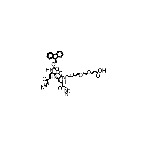 [N-]=[N+]=CC(=O)CCC(NC(=O)OCC1c2ccccc2-c2ccccc21)C(=O)NC(CCC(=O)C=[N+]=[N-])C(=O)NCCOCCOCCOCCC(=O)O